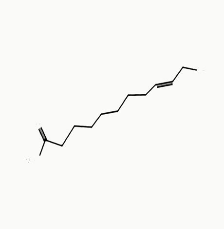 COC(=O)CCCCCCC/C=C/CC(F)(F)F